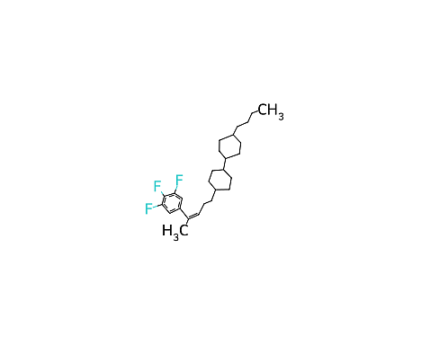 CCCCC1CCC(C2CCC(CCC=C(C)c3cc(F)c(F)c(F)c3)CC2)CC1